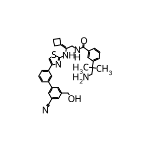 CC(C)(CN)c1cccc(C(=O)NCC(Nc2nc(-c3cccc(-c4cc(C#N)cc(CO)c4)c3)cs2)=C2CCC2)c1